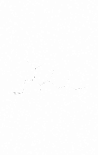 C=C/C=C(\C(C)=C(/C)CC(F)CC)C(C)C